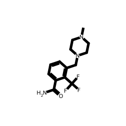 CN1CCN(Cc2[c]ccc(C(N)=O)c2C(F)(F)F)CC1